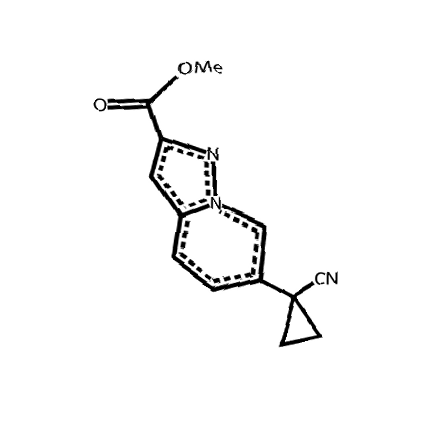 COC(=O)c1cc2ccc(C3(C#N)CC3)cn2n1